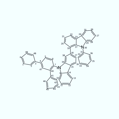 c1ccc(-c2ccc(-n3c4ccccc4c4ccc(-c5cccc6c7ccccc7n(-c7ccccc7)c56)cc43)c(-c3ccccc3)c2)cc1